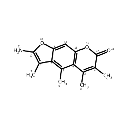 Cc1c(C)c2c(C)c3c(C)c(N)oc3cc2oc1=O